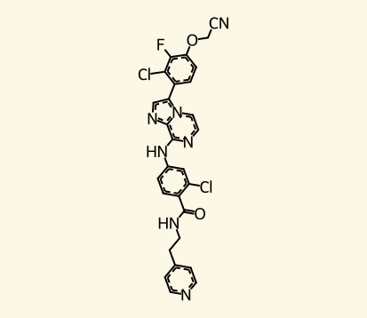 N#CCOc1ccc(-c2cnc3c(Nc4ccc(C(=O)NCCc5ccncc5)c(Cl)c4)nccn23)c(Cl)c1F